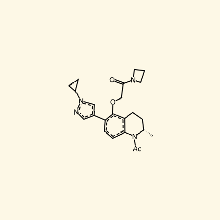 CC(=O)N1c2ccc(-c3cnn(C4CC4)c3)c(OCC(=O)N3CCC3)c2CC[C@@H]1C